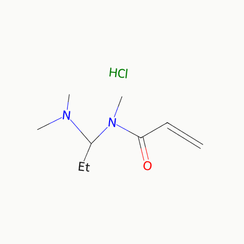 C=CC(=O)N(C)C(CC)N(C)C.Cl